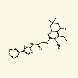 CCc1c(C#N)c(SCC(=O)Nc2nsc(-c3ccccc3)n2)nc2c1C(=O)CC(C)(C)C2